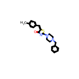 Cc1ccc(C=C2SC(N3CCN(Cc4ccccc4)CC3)=NC2=O)cc1